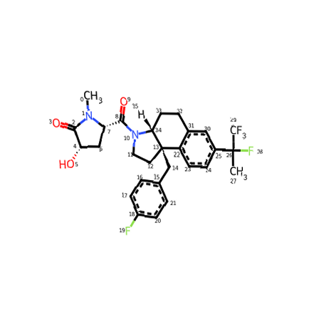 CN1C(=O)[C@@H](O)C[C@H]1C(=O)N1CC[C@@]2(Cc3ccc(F)cc3)c3ccc(C(C)(F)C(F)(F)F)cc3CC[C@@H]12